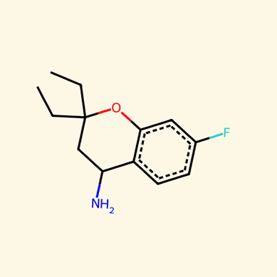 CCC1(CC)CC(N)c2ccc(F)cc2O1